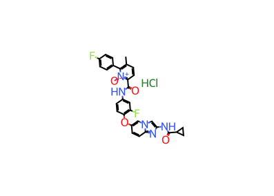 Cc1ccc(C(=O)Nc2ccc(Oc3ccc4nc(NC(=O)C5CC5)cn4c3)c(F)c2)[n+]([O-])c1-c1ccc(F)cc1.Cl